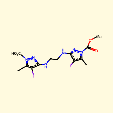 Cc1c(I)c(NCCNc2nn(C(=O)OC(C)(C)C)c(C)c2I)nn1C(=O)O